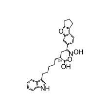 O=C(O)[C@@H](CCCCCc1c[nH]c2ccccc12)CC(=NO)c1ccc2c3c(oc2c1)CCC3